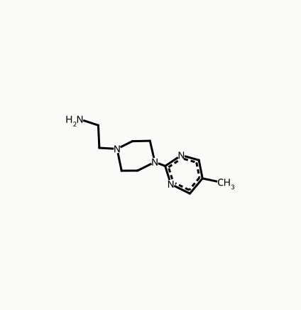 Cc1cnc(N2CCN(CCN)CC2)nc1